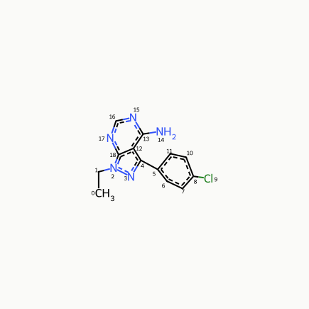 CCn1nc(-c2ccc(Cl)cc2)c2c(N)ncnc21